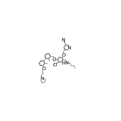 CCCCNCc1cc(Cl)c(OCc2cccc(-c3cccc(OCCCN4CCCC4)c3C)c2C)cc1OCc1cncc(C#N)c1